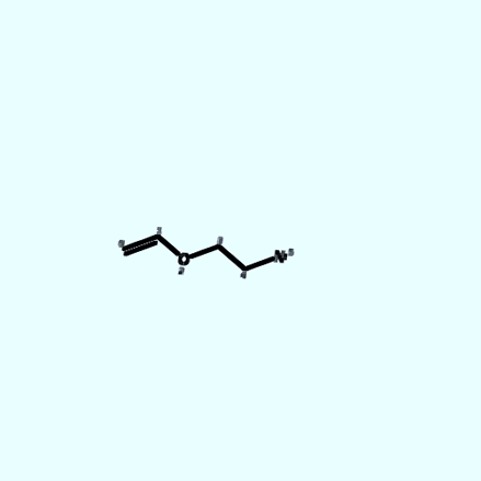 C=COCC[N]